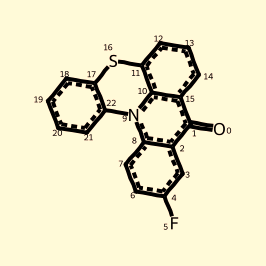 O=c1c2cc(F)ccc2n2c3c(cccc13)Sc1ccccc1-2